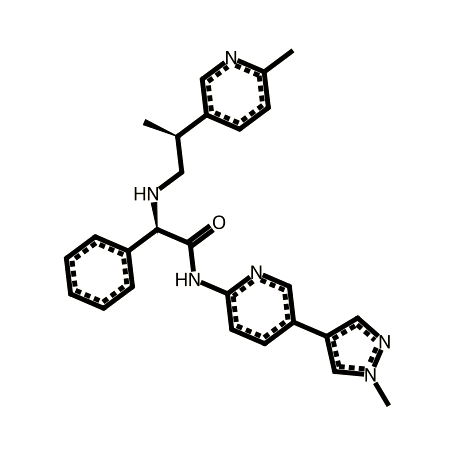 Cc1ccc([C@H](C)CN[C@@H](C(=O)Nc2ccc(-c3cnn(C)c3)cn2)c2ccccc2)cn1